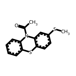 CSc1ccc2c(c1)N(C(C)=O)c1ccccc1S2